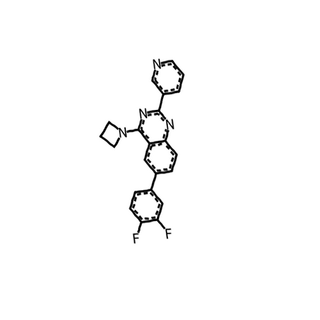 Fc1ccc(-c2ccc3nc(-c4cccnc4)nc(N4CCC4)c3c2)cc1F